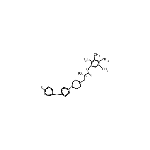 Cc1cc(OC(I)[C@@H](O)CN2CCN(c3ccc(Cc4ccc(F)cc4)cc3)CC2)c(C)c(C)c1N